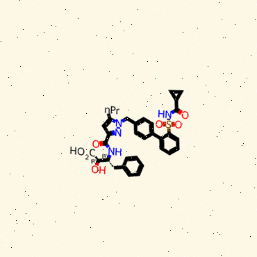 CCCc1cc(C(=O)N[C@H](Cc2ccccc2)[C@@H](O)C(=O)O)nn1Cc1ccc(-c2ccccc2S(=O)(=O)NC(=O)C2CC2)cc1